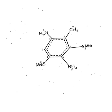 CSc1cc(N)c(C)c(SC)c1N